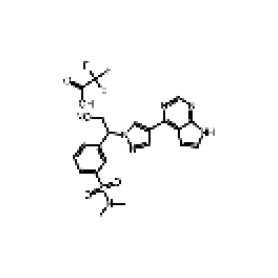 CN(C)S(=O)(=O)c1cccc(C(CC#N)n2cc(-c3ncnc4[nH]ccc34)cn2)c1.O=C(O)C(F)(F)F